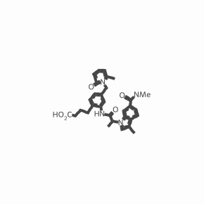 CNC(=O)c1ccc2c(C)cn(C(C)C(=O)Nc3cc(Cn4c(C)cccc4=O)ccc3CCCC(=O)O)c2c1